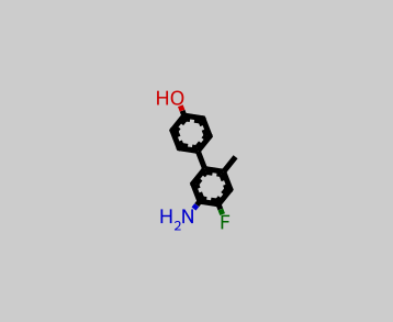 Cc1cc(F)c(N)cc1-c1ccc(O)cc1